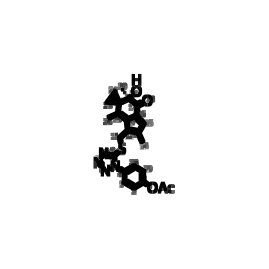 CC(=O)Oc1ccc(-n2nnnc2SCC2=C(C)C=C3C(=O)[C@](C)(O)C4(CC4)C(C)=C32)cc1